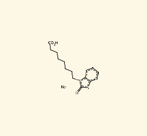 O=C(O)CCCCCCCn1c(=O)sc2ccccc21.[Na]